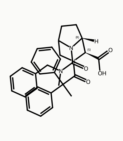 CN(Cc1ccccc1)C(=O)N1C2CC[C@@H]1[C@@H](C(=O)O)N(C(=O)C(C)(c1ccccc1)c1ccccc1)C2